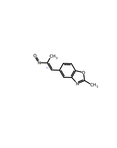 C/C(=C\c1ccc2oc(C)nc2c1)N=O